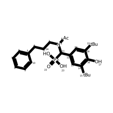 CC(=O)N(CCCc1ccccc1)C(c1cc(C(C)(C)C)c(O)c(C(C)(C)C)c1)P(=O)(O)O